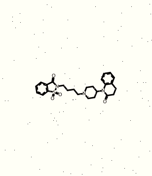 O=C1CCc2ccccc2N1C1CCN(CCCCN2C(=O)c3ccccc3S2(=O)=O)CC1